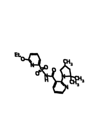 CCOc1cccc(S(=O)(=O)NC(=O)c2cccnc2N2CC(C)CC2(C)C)n1